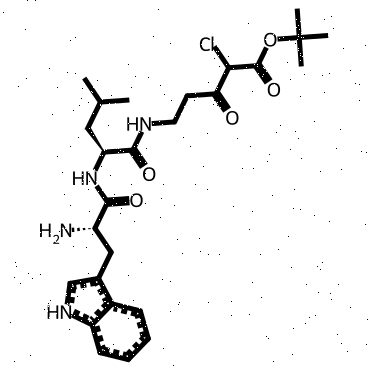 CC(C)C[C@H](NC(=O)[C@@H](N)Cc1c[nH]c2ccccc12)C(=O)NCCC(=O)C(Cl)C(=O)OC(C)(C)C